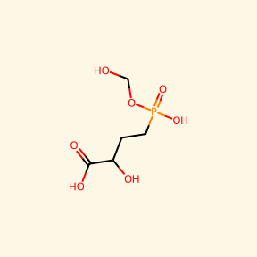 O=C(O)C(O)CCP(=O)(O)OCO